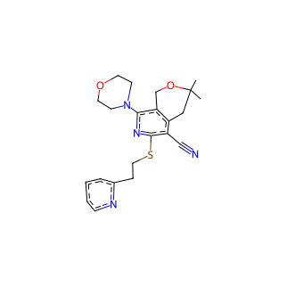 CC1(C)Cc2c(C#N)c(SCCc3ccccn3)nc(N3CCOCC3)c2CO1